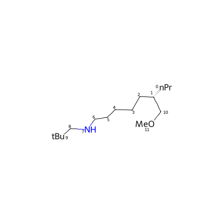 CCC[C@@H](CCCCCNCC(C)(C)C)COC